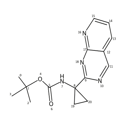 CC(C)(C)OC(=O)NC1(c2ncc3cccnc3n2)CC1